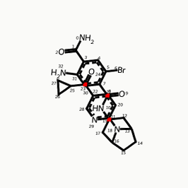 NC(=O)c1cc(Br)c(C(=O)NC2CC3CCC(C2)N3c2ccc(C(=O)C3CC3)cn2)cc1N